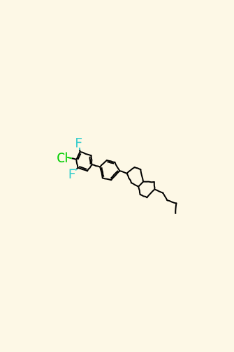 CCCCC1CCC2CC(c3ccc(-c4cc(F)c(Cl)c(F)c4)cc3)CCC2C1